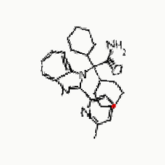 Cc1cccc(-c2nc3ccccc3n2C(C(N)=O)(C2CCCCC2)C2CCCCC2)n1